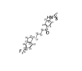 CS(=S)Nc1ccc(C(=O)CCCC[C@H]2CCc3cc(C(F)(F)F)ccc32)cc1